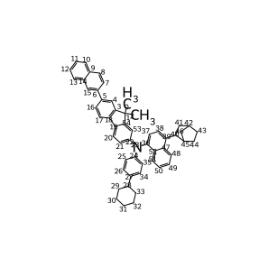 CC1(C)c2cc(-c3ccc4ccccc4c3)ccc2-c2ccc(N(c3ccc(C4CCCCC4)cc3)c3ccc(C4CC5CCC4C5)c4ccccc34)cc21